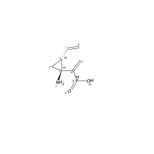 C=C[C@H]1C[C@@]1(N)C(=C)[PH](=O)O